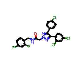 O=C(Cn1nc(-c2ccc(Cl)cc2)c(-c2ccc(Cl)cc2Cl)n1)NCc1ccc(F)cc1F